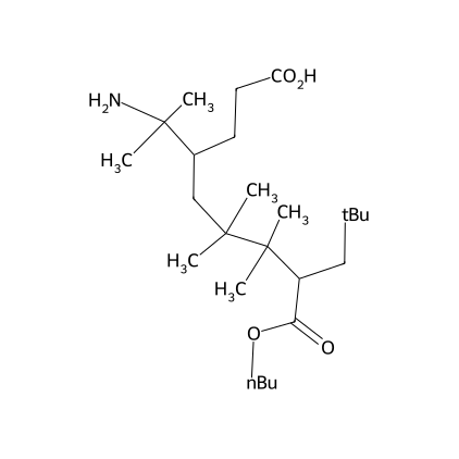 CCCCOC(=O)C(CC(C)(C)C)C(C)(C)C(C)(C)CC(CCC(=O)O)C(C)(C)N